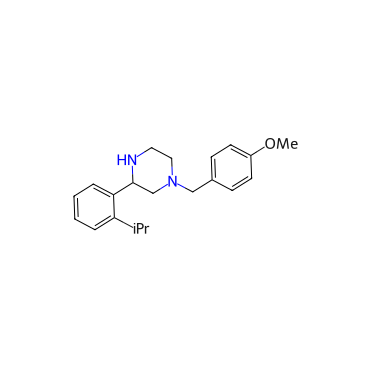 COc1ccc(CN2CCNC(c3ccccc3C(C)C)C2)cc1